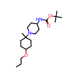 CCCOC1CCC(C)(N2CCC(NC(=O)OC(C)(C)C)CC2)CC1